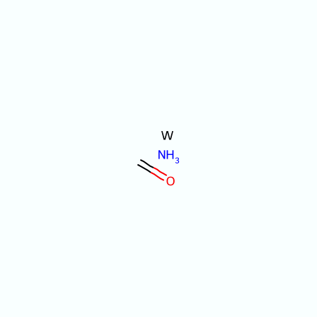 C=O.N.[W]